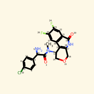 CN(C(=O)C(N)c1ccc(Cl)cc1)[C@@H]1COCc2[nH]c(=O)c3cc(F)c(F)cc3c21